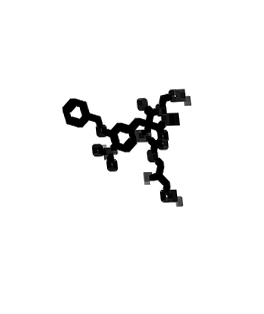 CCOC(=O)C(Cc1ccc([N+](=O)[O-])c(OCc2ccccc2)c1)(NC(=O)OCC(F)CC)C(=O)O